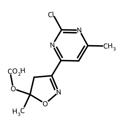 Cc1cc(C2=NOC(C)(OC(=O)O)C2)nc(Cl)n1